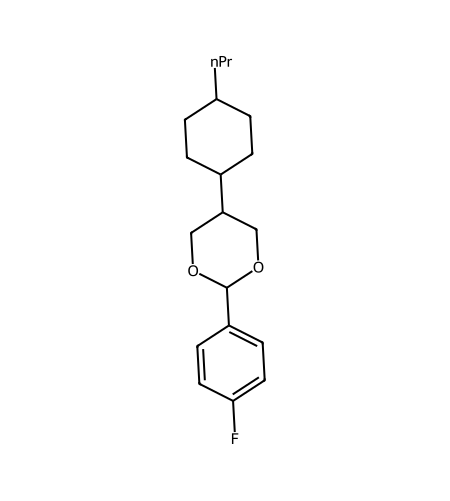 CCCC1CCC(C2COC(c3ccc(F)cc3)OC2)CC1